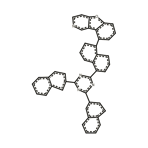 c1ccc2cc(-c3nc(-c4ccc5ccccc5c4)nc(-c4cccc5c(-c6cccc7oc8ccncc8c67)cccc45)n3)ccc2c1